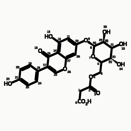 O=C(O)CC(=O)OCC1O[C@@H](Oc2cc(O)c3c(=O)c(-c4ccc(O)cc4)coc3c2)[C@@H](O)C(O)[C@@H]1O